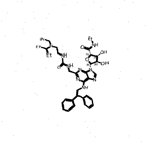 CCNC(=O)[C@H]1O[C@@H](n2cnc3c(NCC(c4ccccc4)c4ccccc4)nc(CNC(=O)NCCN(CC(C)C)C(CC)CC)nc32)[C@H](O)[C@@H]1O